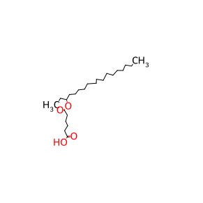 CCCCCCCCCCCCCCCC(CC)OC(=O)CCCCC(=O)O